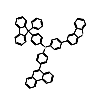 c1ccc(C2(c3ccc(N(c4ccc(-c5ccc6oc7ccccc7c6c5)cc4)c4ccc(-c5cc6ccccc6c6ccccc56)cc4)cc3)c3ccccc3-c3ccccc32)cc1